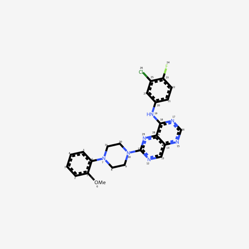 COc1ccccc1N1CCN(c2ncc3ncnc(Nc4ccc(F)c(Cl)c4)c3n2)CC1